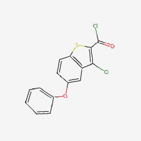 O=C(Cl)c1sc2ccc(Oc3ccccc3)cc2c1Cl